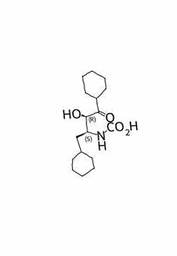 O=C(O)N[C@@H](CC1CCCCC1)[C@@H](O)C(=O)C1CCCCC1